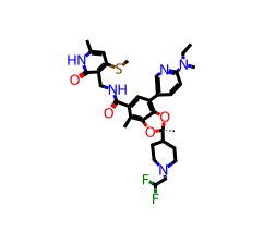 CCN(C)c1ccc(-c2cc(C(=O)NCc3c(SC)cc(C)[nH]c3=O)c(C)c3c2O[C@@](C)(C2CCN(CC(F)F)CC2)O3)cn1